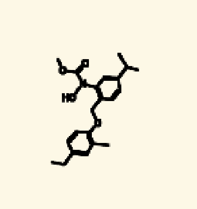 CCc1ccc(OCc2ccc(C(C)C)cc2N(O)C(=O)OC)c(C)c1